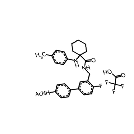 CC(=O)Nc1ccc(-c2ccc(F)c(CNC(=O)C3(Nc4ccc(C)cc4)CCCCC3)c2)cc1.O=C(O)C(F)(F)F